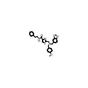 COc1ccc(CN(Cc2ccc3c(c2)OCO3)Cc2nc(C(=O)NCCc3ccccc3)cs2)cc1